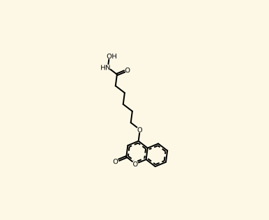 O=C(CCCCCOc1cc(=O)oc2ccccc12)NO